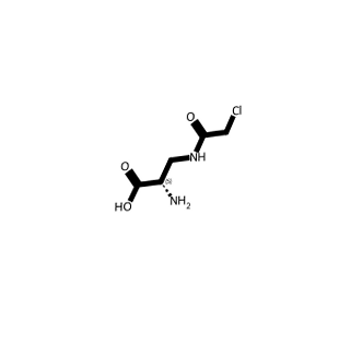 N[C@@H](CNC(=O)CCl)C(=O)O